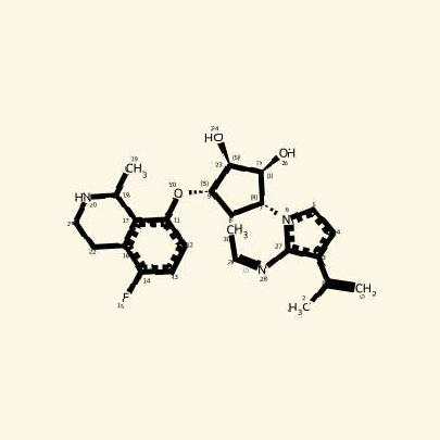 C=C(C)c1ccn([C@@H]2C[C@H](Oc3ccc(F)c4c3C(C)NCC4)[C@@H](O)[C@H]2O)c1/N=C\C